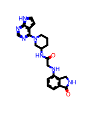 O=C(CNc1cccc2c1CNC2=O)NC1CCCN(c2ncnc3[nH]ccc23)C1